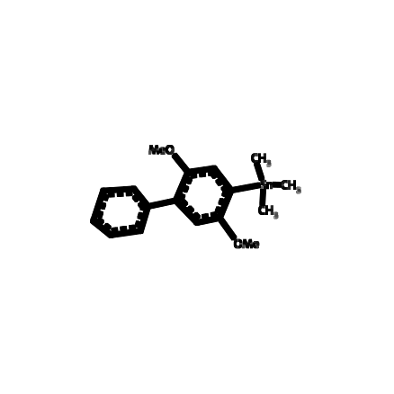 COc1c[c]([Sn]([CH3])([CH3])[CH3])c(OC)cc1-c1ccccc1